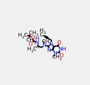 CC#CCn1c(N(C)C[C@H](C)NC(=O)OC(C)(C)C)nc2c1c(=O)[nH]c(=O)n2C